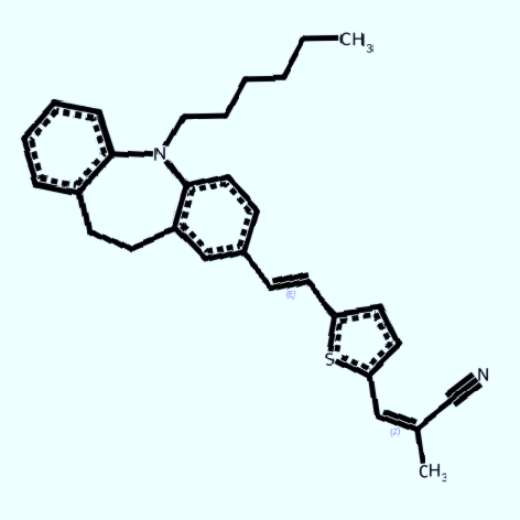 CCCCCCN1c2ccccc2CCc2cc(/C=C/c3ccc(/C=C(/C)C#N)s3)ccc21